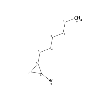 CCCCCCC1CC1Br